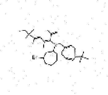 C=C(C)/C(=C(C)\C=C(/C)C(C)(C)CC)N(CC1=CC=C(C(C)(C)C)C=CC1)C1CCCCC(Br)C1